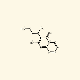 CCCC(C)c1c(O)nc2ccccn2c1=O